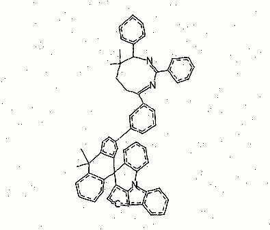 CC1(C)c2ccccc2C2(c3ccccc3-n3c4ccccc4c4cccc2c43)c2cc(-c3cccc(/C4=N/C(c5ccccc5)=N\C(c5ccccc5)C(C)(C)CC4)c3)ccc21